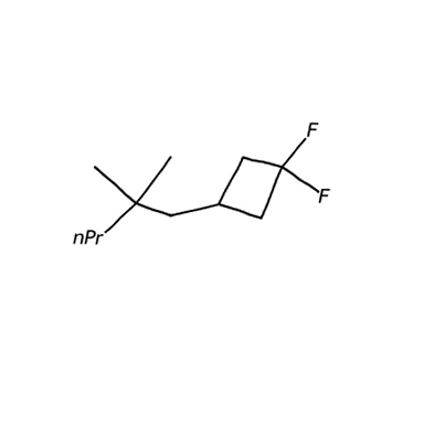 CCCC(C)(C)CC1CC(F)(F)C1